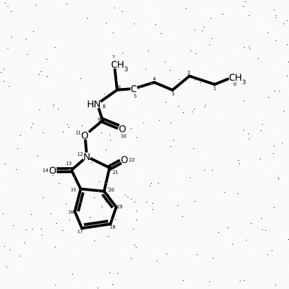 CCCCCCC(C)NC(=O)ON1C(=O)c2ccccc2C1=O